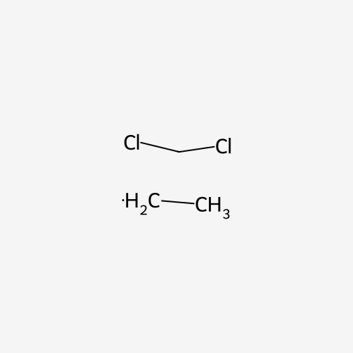 ClCCl.[CH2]C